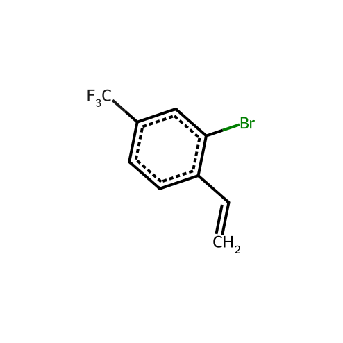 C=Cc1ccc(C(F)(F)F)cc1Br